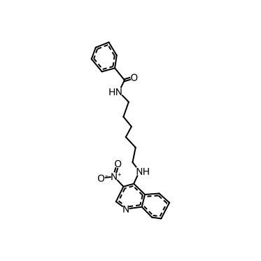 O=C(NCCCCCCNc1c([N+](=O)[O-])cnc2ccccc12)c1ccccc1